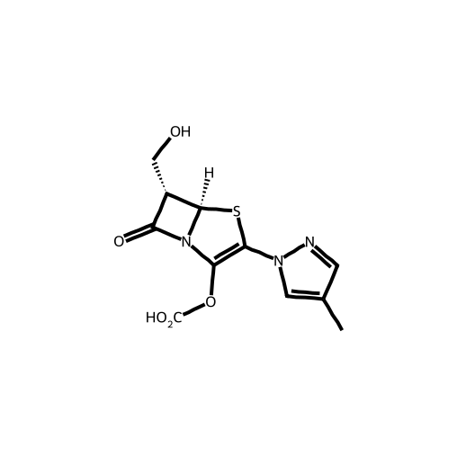 Cc1cnn(C2=C(OC(=O)O)N3C(=O)[C@H](CO)[C@H]3S2)c1